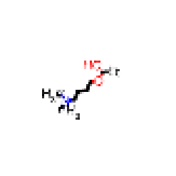 CCC(O)OCCCCN(C)C